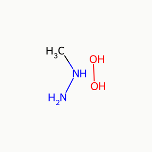 CNN.OO